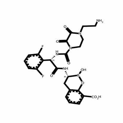 NCCN1CCN(C(=O)N[C@H](C(=O)N[C@H]2Cc3cccc(C(=O)O)c3OB2O)c2c(F)cccc2F)C(=O)C1=O